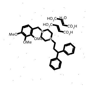 COc1ccc(CN2CCN(CCC(c3ccccc3)c3ccccc3)CC2)c(OC)c1OC.O.O=C(O)C=CC(=O)O.O=C(O)C=CC(=O)O